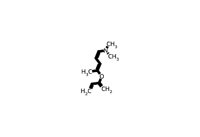 C=CC(=C)O/C(C)=C/C=C\N(C)C